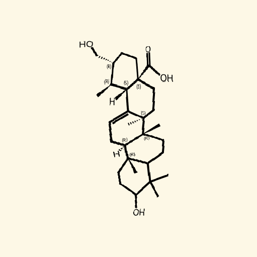 C[C@H]1[C@H](CO)CC[C@]2(C(=O)O)CC[C@]3(C)C(=CC[C@@H]4[C@@]5(C)CCC(O)C(C)(C)C5CC[C@]43C)[C@H]12